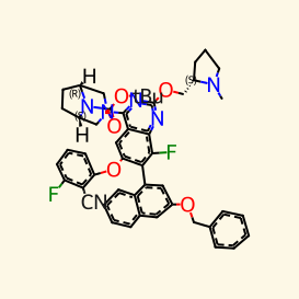 CN1CCC[C@H]1COc1nc(N2C[C@H]3CC[C@@H](C2)N3C(=O)OC(C)(C)C)c2cc(Oc3cccc(F)c3C#N)c(-c3cc(OCc4ccccc4)cc4ccccc34)c(F)c2n1